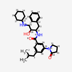 CC(C)Cc1cc(C(=O)NC(Cc2ccccc2)C(O)CNC2CCCCC2)cc(N2CCCC2=O)c1